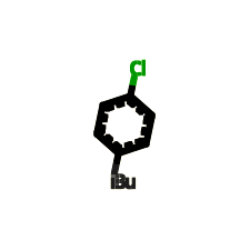 [CH2]CC(C)c1ccc(Cl)cc1